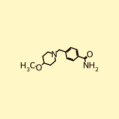 COC1CCN(Cc2ccc(C(N)=O)cc2)CC1